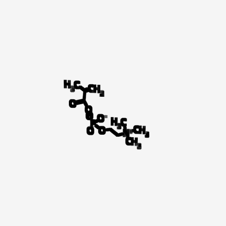 C=C(C)C(=O)OOP(=O)([O-])OCC[N+](C)(C)C